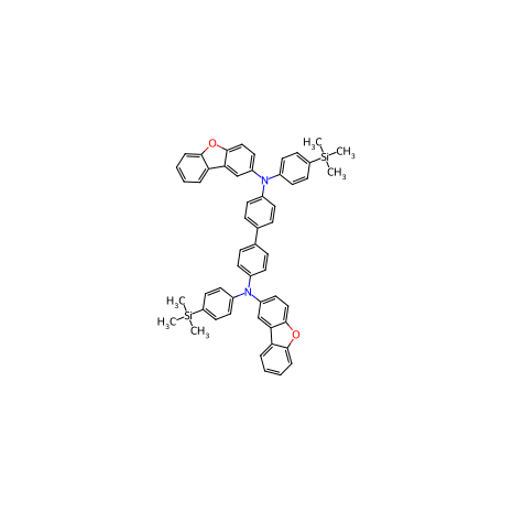 C[Si](C)(C)c1ccc(N(c2ccc(-c3ccc(N(c4ccc([Si](C)(C)C)cc4)c4ccc5oc6ccccc6c5c4)cc3)cc2)c2ccc3oc4ccccc4c3c2)cc1